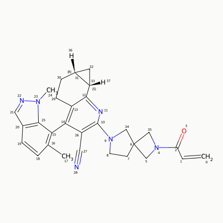 C=CC(=O)N1CC2(CCN(c3nc4c(c(-c5c(C)ccc6cnn(C)c56)c3C#N)CC[C@@H]3C[C@H]43)C2)C1